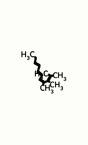 CCC=CC=CC=C(C)C(C)=C(C)C